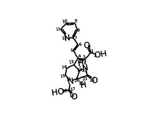 O=C(O)C1=C(/C=C/c2ccccn2)C2CCN(C(=O)O)[C@@H]3C(=O)N1[C@H]23